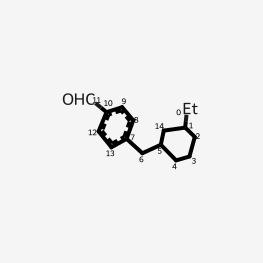 CCC1CCCC(Cc2ccc(C=O)cc2)C1